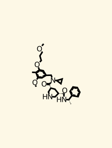 COCCCOc1cc(CN(C(=O)[C@H]2CNC[C@@H](C(=O)N[C@@H](C)c3ccccc3)C2)C2CC2)cc(OC)c1C